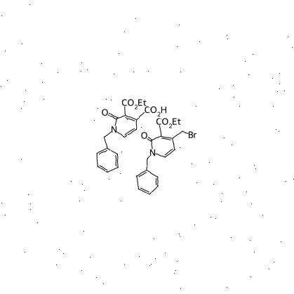 CCOC(=O)c1c(C(=O)O)ccn(Cc2ccccc2)c1=O.CCOC(=O)c1c(CBr)ccn(Cc2ccccc2)c1=O